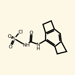 O=C(Nc1c2c(cc3c1CC3)CC2)NS(=O)(=O)Cl